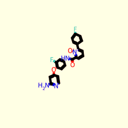 Nc1cc(Oc2ccc(NC(=O)c3cccc(-c4ccc(F)cc4)[n+]3[O-])cc2F)ccn1